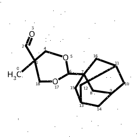 CC1(C=O)COC(C23CC4CC(CC(C4)C2)C3)OC1